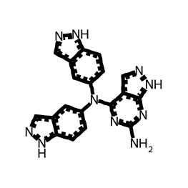 Nc1nc(N(c2ccc3[nH]ncc3c2)c2ccc3[nH]ncc3c2)c2cn[nH]c2n1